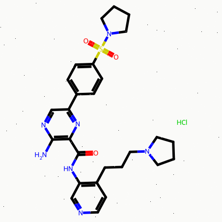 Cl.Nc1ncc(-c2ccc(S(=O)(=O)N3CCCC3)cc2)nc1C(=O)Nc1cnccc1CCCN1CCCC1